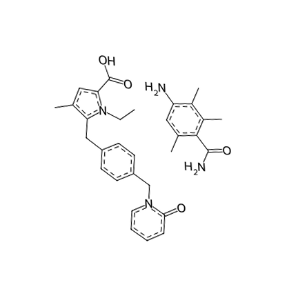 CCn1c(C(=O)O)cc(C)c1Cc1ccc(Cn2ccccc2=O)cc1.Cc1cc(N)c(C)c(C)c1C(N)=O